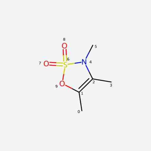 CC1=C(C)N(C)S(=O)(=O)O1